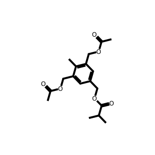 CC(=O)OCc1cc(COC(=O)C(C)C)cc(COC(C)=O)c1C